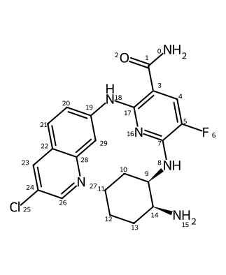 NC(=O)c1cc(F)c(N[C@@H]2CCCC[C@@H]2N)nc1Nc1ccc2cc(Cl)cnc2c1